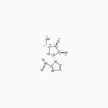 O=[N+]([O-])c1nccn1[C@@H]1O[C@H](CO)[C@@H](Cl)[C@H]1O